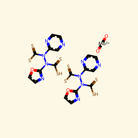 S=C([S-])N(c1cnccn1)N(C(=S)S)c1ncco1.S=C([S-])N(c1cnccn1)N(C(=S)S)c1ncco1.[O]=[Mo+2]=[O]